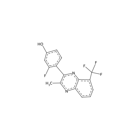 Cc1nc2cccc(C(F)(F)F)c2nc1-c1ccc(O)cc1F